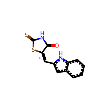 O=C1NC(=S)S/C1=C/c1cc2ccccc2[nH]1